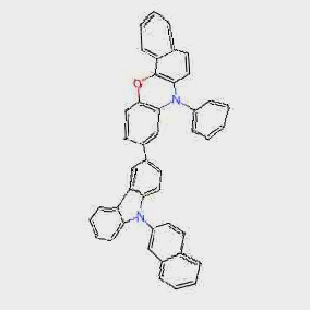 c1ccc(N2c3cc(-c4ccc5c(c4)c4ccccc4n5-c4ccc5ccccc5c4)ccc3Oc3c2ccc2ccccc32)cc1